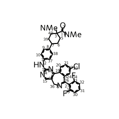 CNC(=O)C1(NC)CCC(c2ccc(Nc3ncc4c(n3)-c3ccc(Cl)cc3C(c3c(F)cccc3F)=NC4)cc2)CC1